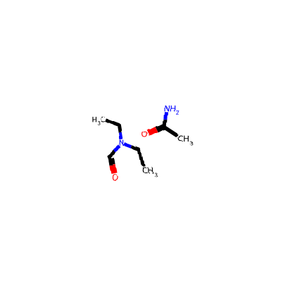 CC(N)=O.CCN(C=O)CC